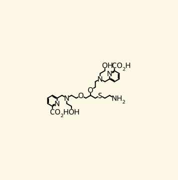 NCCSCC(COCCN(CCO)Cc1cccc(C(=O)O)n1)OCCN(CCO)Cc1cccc(C(=O)O)n1